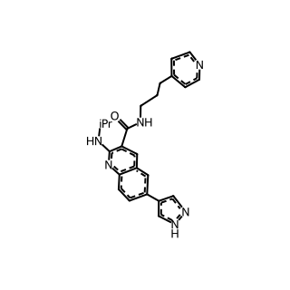 CC(C)Nc1nc2ccc(-c3cn[nH]c3)cc2cc1C(=O)NCCCc1ccncc1